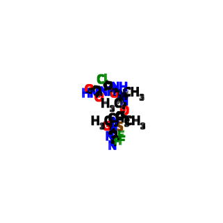 CCc1cc(N2C(=S)N(c3cnc(C#N)c(C(F)(F)F)c3)C(=O)C2(C)C)ccc1OCCN1C[C@@H](C)N(CC(=O)Nc2cc(Cl)cc(NC3CCC(=O)NC3=O)c2)C[C@H]1C